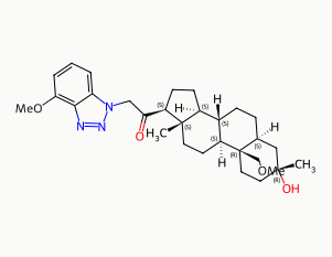 COC[C@]12CC[C@@](C)(O)C[C@@H]1CC[C@H]1[C@@H]3CC[C@H](C(=O)Cn4nnc5c(OC)cccc54)[C@@]3(C)CC[C@@H]12